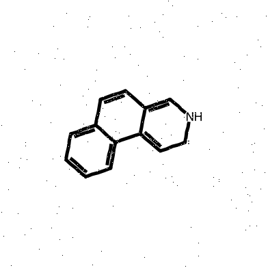 [C]1C=c2c(ccc3ccccc23)=CN1